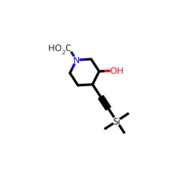 C[Si](C)(C)C#CC1CCN(C(=O)O)CC1O